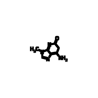 Cn1cnc2c1=NC(=O)CC=2N